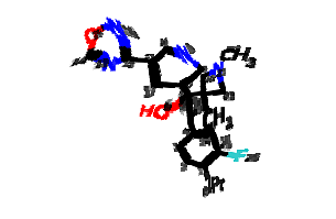 CC(C)c1ccc([C@](O)(c2cncc(-c3ncon3)c2)C2(C)CN(C)C2)cc1F